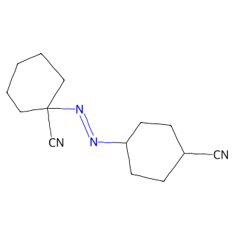 N#CC1CCC(N=NC2(C#N)CCCCC2)CC1